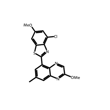 COc1cc(Cl)c2nc(-c3cc(C)cc4nc(OC)cnc34)sc2c1